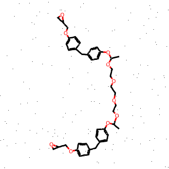 CC(OCCOCCOCCOC(C)Oc1ccc(Cc2ccc(OCC3CO3)cc2)cc1)Oc1ccc(Cc2ccc(OCC3CO3)cc2)cc1